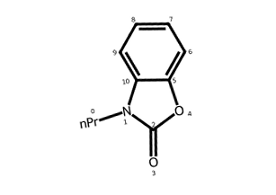 CCCn1c(=O)oc2ccccc21